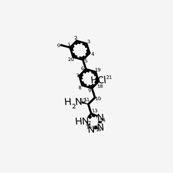 Cc1cccc(-c2ccc(C[C@H](N)c3nnn[nH]3)cc2)c1.Cl